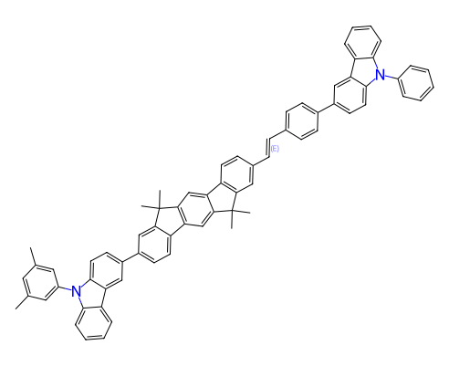 Cc1cc(C)cc(-n2c3ccccc3c3cc(-c4ccc5c(c4)C(C)(C)c4cc6c(cc4-5)C(C)(C)c4cc(/C=C/c5ccc(-c7ccc8c(c7)c7ccccc7n8-c7ccccc7)cc5)ccc4-6)ccc32)c1